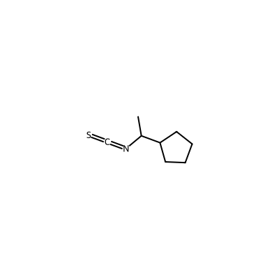 CC(N=C=S)C1CCCC1